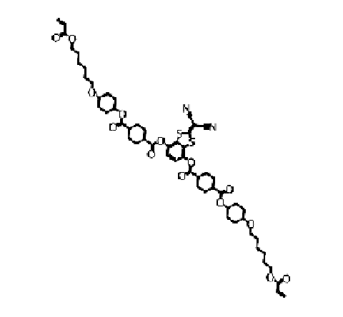 C=CC(=O)OCCCCCCOC1CCC(OC(=O)C2CCC(C(=O)Oc3ccc(OC(=O)C4CCC(C(=O)OC5CCC(OCCCCCCOC(=O)C=C)CC5)CC4)c4c3SC(=C(C#N)C#N)S4)CC2)CC1